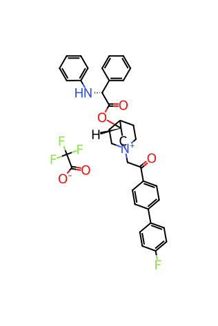 O=C(C[N+]12CCC(CC1)[C@@H](OC(=O)[C@H](Nc1ccccc1)c1ccccc1)C2)c1ccc(-c2ccc(F)cc2)cc1.O=C([O-])C(F)(F)F